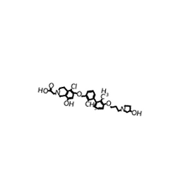 Cc1c(COc2cc(O)c3c(c2Cl)CCN(CC(=O)O)C3)cccc1-c1cccc(OCCCN2CCC(O)C2)c1C